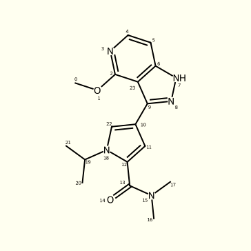 COc1nccc2[nH]nc(-c3cc(C(=O)N(C)C)n(C(C)C)c3)c12